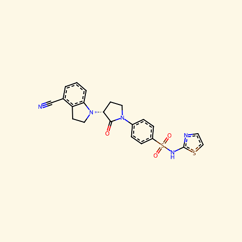 N#Cc1cccc2c1CCN2[C@@H]1CCN(c2ccc(S(=O)(=O)Nc3nccs3)cc2)C1=O